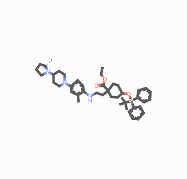 CCOC(=O)C1(CCNc2ccc(N3CCC(N4CCC[C@@H]4C)CC3)cc2C)CCC(O[Si](c2ccccc2)(c2ccccc2)C(C)(C)C)CC1